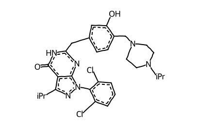 CC(C)c1nn(-c2c(Cl)cccc2Cl)c2nc(Cc3ccc(CN4CCN(C(C)C)CC4)c(O)c3)[nH]c(=O)c12